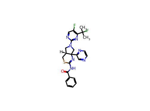 CC(C)(F)c1nc(N2C[C@H]3CSC(NC(=O)c4ccccc4)=NC3(c3cnccn3)C2)ncc1F